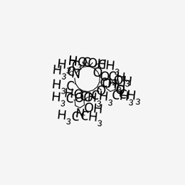 [2H]C1(O)C(C)OC(O[C@H]2[C@H](C)[C@@H](OC3OC(C)CC(N(C)C)C3O)[C@](C)(O)C[C@@H](C)CN(C)[C@H](C)[C@@H](O)[C@](C)(O)[C@@H](CC)OC(=O)[C@@H]2C)CC1(C)OC